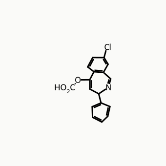 O=C(O)OC1=CC(c2ccccc2)N=Cc2cc(Cl)ccc21